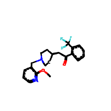 COc1ncccc1CN1CCC(CC(=O)c2ccccc2C(F)(F)F)CC1